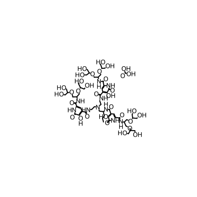 CCCC(CN(CCNC(=O)c1cc(C(=O)NC(COC(CO)CO)COC(CO)CO)[nH]c(=O)c1O)CCNC(=O)c1cc(C(=O)NC(COC(CO)CO)COC(CO)CO)[nH]c(=O)c1O)NC(=O)c1cc(C(=O)NC(COC(CO)CO)COC(CO)CO)[nH]c(=O)c1O.O=C(O)O